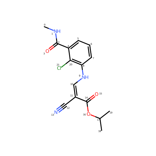 CNC(=O)c1cccc(NC=C(C#N)C(=O)OC(C)C)c1Cl